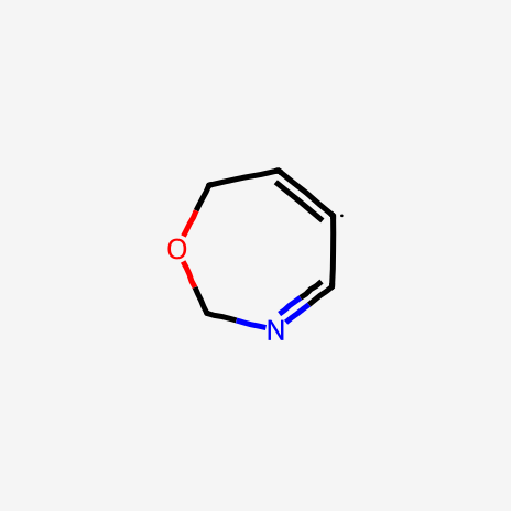 [C]1=CCOCN=C1